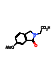 COc1ccc2c(c1)C(=O)N(CC(=O)O)C2